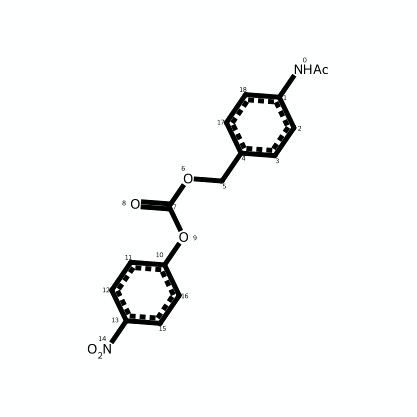 CC(=O)Nc1ccc(COC(=O)Oc2ccc([N+](=O)[O-])cc2)cc1